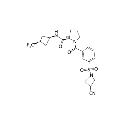 N#CC1CN(S(=O)(=O)c2cccc(C(=O)N3CCC[C@@H]3C(=O)N[C@H]3C[C@@H](C(F)(F)F)C3)c2)C1